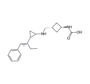 CC/C(=C\c1ccccc1)C1CC1NC[C@H]1C[C@H](NC(=O)O)C1